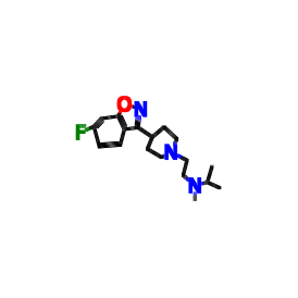 CC(C)N(C)CCN1CCC(c2noc3cc(F)ccc23)CC1